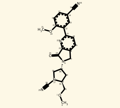 COC[C@@H]1C[C@@H](N2Cc3ccc(-c4cc(C#N)ccc4OC)nc3C2=O)CN1C#N